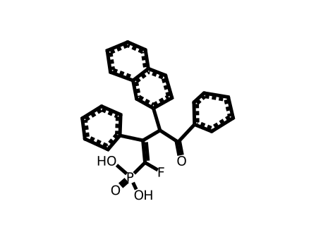 O=C(c1ccccc1)C(C(=C(F)P(=O)(O)O)c1ccccc1)c1ccc2ccccc2c1